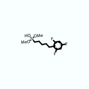 CO[Si](O)(CCCCCc1c(F)cc(F)cc1F)OC